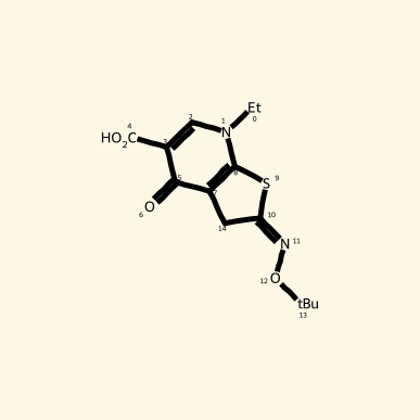 CCn1cc(C(=O)O)c(=O)c2c1SC(=NOC(C)(C)C)C2